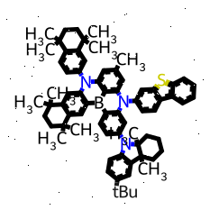 Cc1cc2c3c(c1)N(c1ccc4c(c1)C(C)(C)CCC4(C)C)c1cc4c(cc1B3c1ccc(N3c5ccc(C(C)(C)C)cc5C5(C)CCCCC35C)cc1N2c1ccc2c(c1)sc1ccccc12)C(C)(C)CCC4(C)C